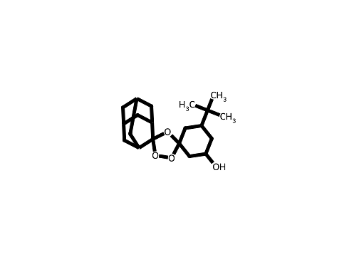 CC(C)(C)C1CC(O)CC2(C1)OOC1(O2)C2CC3CC(C2)CC1C3